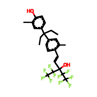 CCC(CC)(c1ccc(O)c(C)c1)c1ccc(C=CC(O)(C(F)(F)C(F)(F)F)C(F)(F)C(F)(F)F)c(C)c1